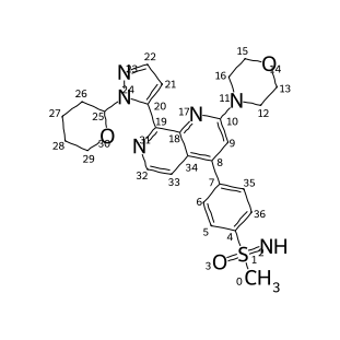 CS(=N)(=O)c1ccc(-c2cc(N3CCOCC3)nc3c(-c4ccnn4C4CCCCO4)nccc23)cc1